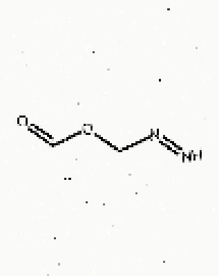 N=NCOC=O